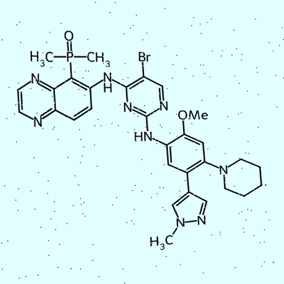 COc1cc(N2CC[CH]CC2)c(-c2cnn(C)c2)cc1Nc1ncc(Br)c(Nc2ccc3nccnc3c2P(C)(C)=O)n1